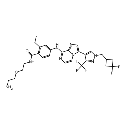 CCc1cc(Nc2nccn3c(-c4cn(CC5CC(F)(F)C5)nc4C(F)(F)F)cnc23)ccc1C(=O)NCCOCCN